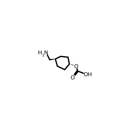 NC[C@H]1CC[C@H](OC(=O)O)CC1